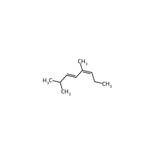 CCC=C(C)C=C[C](C)C